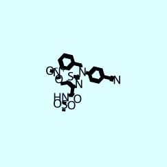 Cc1sc(N(Cc2cccc([N+](=O)[O-])c2)c2ccc(C#N)cc2)nc1C(=O)NS(C)(=O)=O